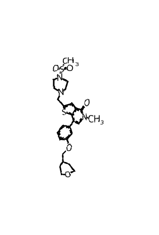 Cn1cc(-c2cccc(OCC3CCOCC3)c2)c2sc(CN3CCN(S(C)(=O)=O)CC3)cc2c1=O